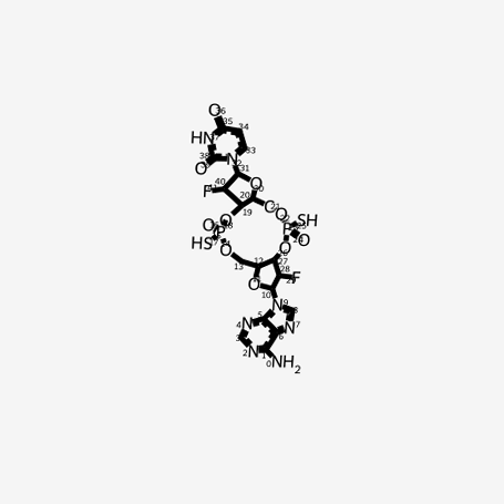 Nc1ncnc2c1ncn2C1OC2COP(=O)(S)OC3C(COP(=O)(S)OC2C1F)OC(n1ccc(=O)[nH]c1=O)C3F